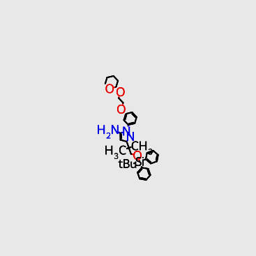 CC(C)(CO[Si](c1ccccc1)(c1ccccc1)C(C)(C)C)c1cc(N)n(-c2cccc(OCCOC3CCCCO3)c2)n1